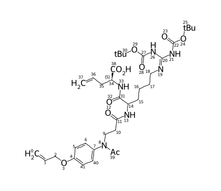 C=CCOc1ccc(N(CCC(=O)NC(CCCCN=C(NC(=O)OC(C)(C)C)NC(=O)OC(C)(C)C)C(=O)N[C@@H](CC=C)C(=O)O)C(C)=O)cc1